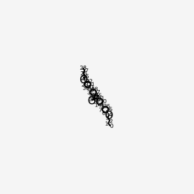 CCCCO[C@H]1CC[C@H](C2CCC3(CC2)CC2(CCC([C@H]4CC[C@H](OCCCC)CC4)CC2)C3=O)CC1